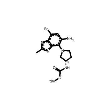 Cc1nc2c(N3CC[C@H](NC(=O)OC(C)(C)C)C3)c(N)cc(Br)c2s1